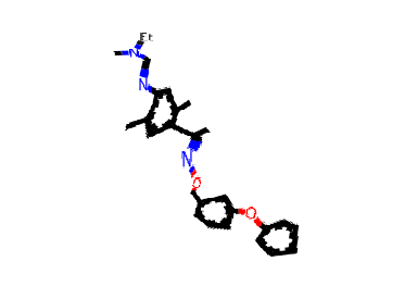 CCN(C)C=Nc1cc(C)c(/C(C)=N/OCc2cccc(Oc3ccccc3)c2)cc1C